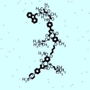 COc1cc2c(cc1OCCCCCOc1cc3c(cc1OC)C(=O)N1C=C(c4ccc(N5CCN(C)CC5)cc4)C[C@H]1C(=O)N3COCC[Si](C)(C)C)N(COCC[Si](C)(C)C)C(=O)C1CC(c3ccc(NC(=O)[C@H](C)NC(=O)[C@@H](NC(=O)OCC4c5ccccc5-c5ccccc54)C(C)C)cc3)=CN1C2=O